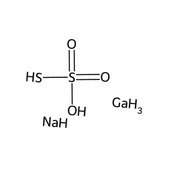 O=S(=O)(O)S.[GaH3].[NaH]